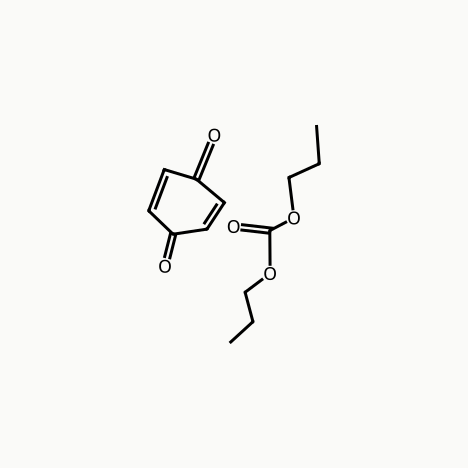 CCCOC(=O)OCCC.O=C1C=CC(=O)C=C1